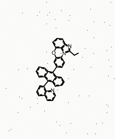 CCc1nc2cccc3c2n1-c1ccc(-c2c4ccccc4c(-c4cccc5cccnc45)c4ccccc24)cc1O3